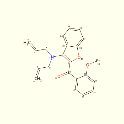 C=CCN(CC=C)c1c(C(=O)c2ccccc2OCC)oc2ccccc12